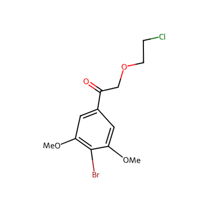 COc1cc(C(=O)COCCCl)cc(OC)c1Br